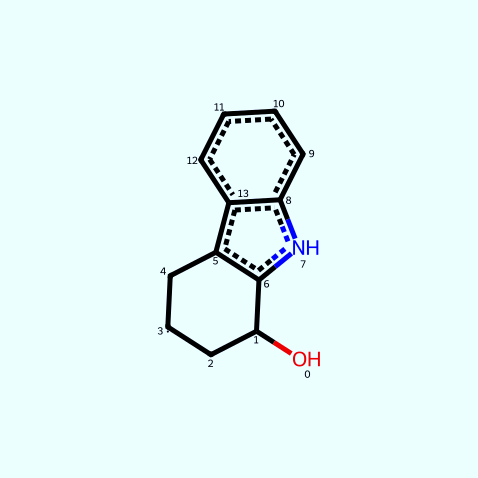 OC1C[CH]Cc2c1[nH]c1ccccc21